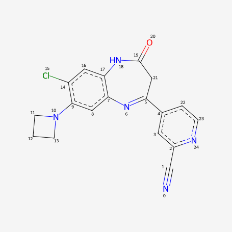 N#Cc1cc(C2=Nc3cc(N4CCC4)c(Cl)cc3NC(=O)C2)ccn1